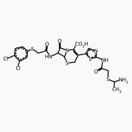 CC(N)SCC(=O)Nc1ncc(C2=C(C(=O)O)N3C(=O)C(NC(=O)CSc4ccc(Cl)c(Cl)c4)C3SC2)s1